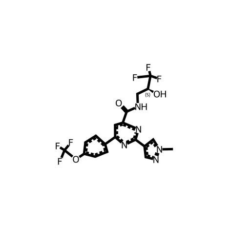 Cn1cc(-c2nc(C(=O)NC[C@H](O)C(F)(F)F)cc(-c3ccc(OC(F)(F)F)cc3)n2)cn1